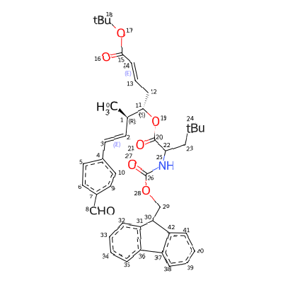 C[C@H](/C=C/c1ccc(C=O)cc1)[C@H](C/C=C/C(=O)OC(C)(C)C)OC(=O)C(CC(C)(C)C)NC(=O)OCC1c2ccccc2-c2ccccc21